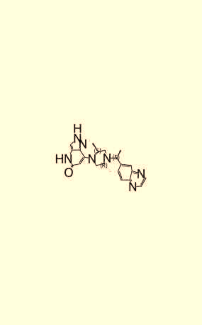 C[C@@H]1CN(c2cc(=O)[nH]c3c[nH]nc23)[C@@H](C)CN1[C@@H](C)c1ccc2nccnc2c1